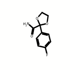 NC(=O)C1(c2ccc(F)cc2)OCCO1